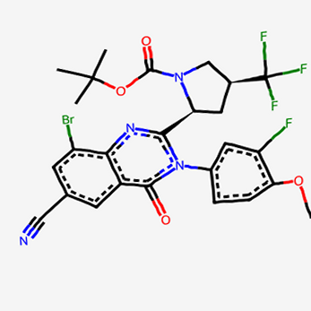 COc1ccc(-n2c([C@@H]3C[C@H](C(F)(F)F)CN3C(=O)OC(C)(C)C)nc3c(Br)cc(C#N)cc3c2=O)cc1F